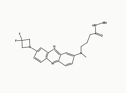 CN(CCCC(=O)NC(C)(C)C)c1ccc2c(c1)=[SH]c1cc(N3CC(F)(F)C3)ccc1N=2